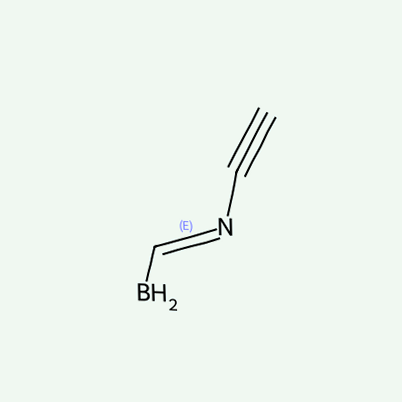 B/C=N/C#C